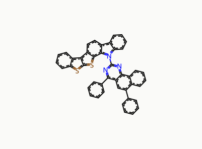 c1ccc(-c2cc3c(-c4ccccc4)nc(-n4c5ccccc5c5ccc6c(sc7sc8ccccc8c76)c54)nc3c3ccccc23)cc1